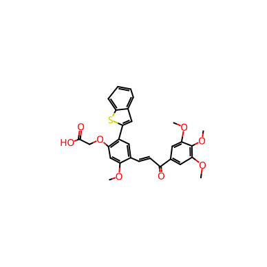 COc1cc(OCC(=O)O)c(-c2cc3ccccc3s2)cc1C=CC(=O)c1cc(OC)c(OC)c(OC)c1